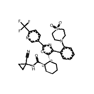 N#CC1(NC(=O)[C@@H]2CCCC[C@H]2c2oc(-c3ccc(C(F)(F)F)nc3)nc2-c2ccccc2N2CCS(=O)(=O)CC2)CC1